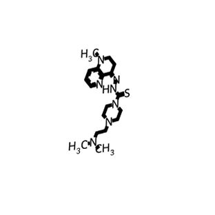 CN(C)CCN1CCN(C(=S)N/N=C2/CCN(C)c3cccnc32)CC1